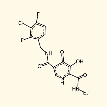 CCNC(=O)c1[nH]cc(C(=O)NCc2ccc(F)c(Cl)c2F)c(=O)c1O